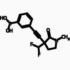 CN1CCC(C#Cc2cccc(B(O)O)c2)(C(F)F)C1=O